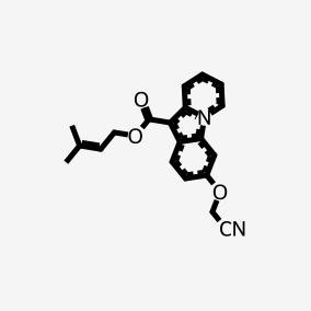 CC(C)=CCOC(=O)c1c2ccc(OCC#N)cc2n2ccccc12